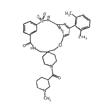 Cc1cccc(C)c1-c1cc2nc(n1)NS(=O)(=O)c1cccc(c1)C(=O)NCC1(CCN(C(=O)C3CCCN(C)C3)CC1)CO2